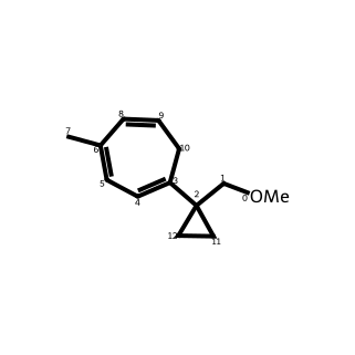 COCC1(C2=CC=C(C)C=CC2)CC1